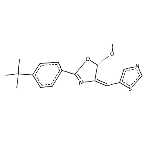 CO[C@H]1OC(c2ccc(C(C)(C)C)cc2)=N/C1=C/c1cncs1